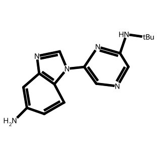 CC(C)(C)Nc1cncc(-n2cnc3cc(N)ccc32)n1